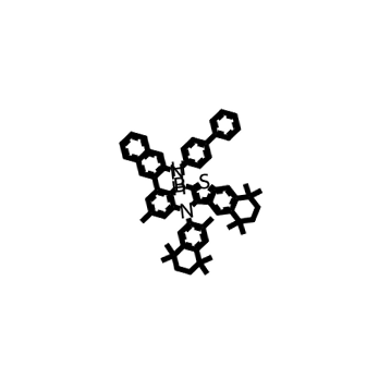 Cc1cc(-c2cc3ccccc3cc2Nc2ccc(-c3ccccc3)cc2)c2c(c1)N(c1cc3c(cc1C)C(C)(C)CCC3(C)C)c1c(sc3cc4c(cc13)C(C)(C)CCC4(C)C)B2